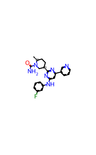 C[C@H]1CC[C@@H](c2nc(Nc3cccc(F)c3)cc(-c3cccnc3)n2)CN1C(N)=O